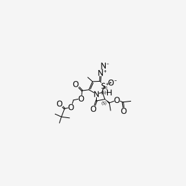 CC(=O)OC(C)[C@H]1C(=O)N2C(C(=O)OCOC(=O)C(C)(C)C)=C(C)C(=[N+]=[N-])[S@@+]([O-])[C@@H]12